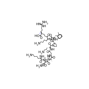 Cc1ccccc1C[C@H](NC(=O)[C@@H]1CCCN1C(=O)[C@@H](CCCN)NC(=O)CNC(=O)[C@H](C)NC(=O)[C@@H](NC(=O)[C@@H](N)CCCCN)[C@@H](O)CN)C(=O)N[C@@H](CCCCN)C(=O)CC/C(=C\CCNC(=N)N)C(=O)O